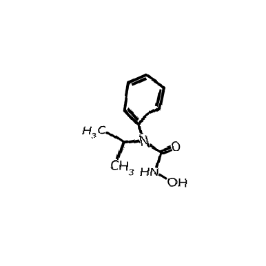 CC(C)N(C(=O)NO)c1ccccc1